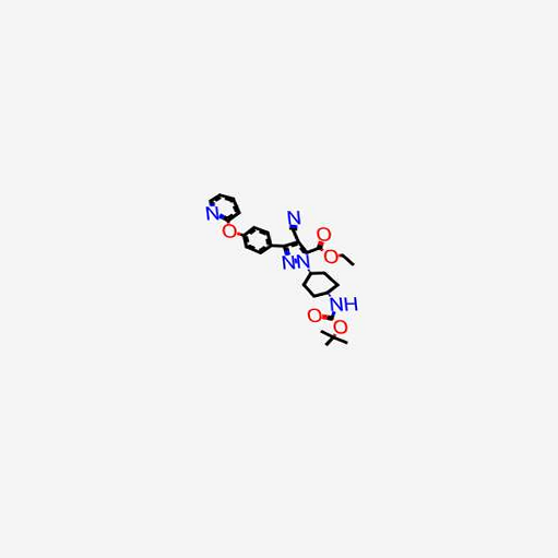 CCOC(=O)c1c(C#N)c(-c2ccc(Oc3ccccn3)cc2)nn1[C@H]1CC[C@@H](NC(=O)OC(C)(C)C)CC1